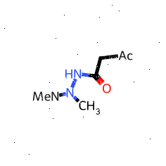 CNN(C)NC(=O)CC(C)=O